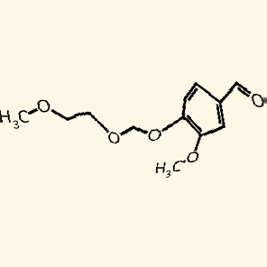 COCCOCOc1ccc(C=O)cc1OC